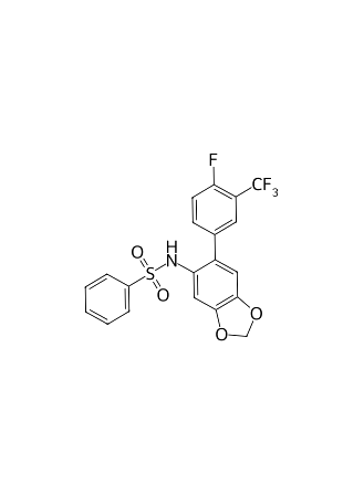 O=S(=O)(Nc1cc2c(cc1-c1ccc(F)c(C(F)(F)F)c1)OCO2)c1ccccc1